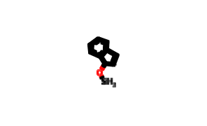 [SiH3]OC1[C]=Cc2ccccc21